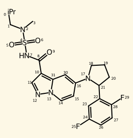 CC(C)CN(C)S(=O)(=O)NC(=O)c1cnn2ccc(N3CCCC3c3cc(F)ccc3F)cc12